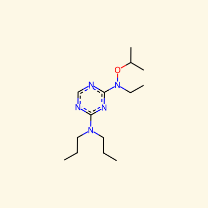 CCCN(CCC)c1ncnc(N(CC)OC(C)C)n1